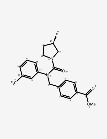 COC(=O)c1ccc(CN(C(=O)N2CC[C@@H](F)C2)c2cccc(C(F)(F)F)c2)cc1